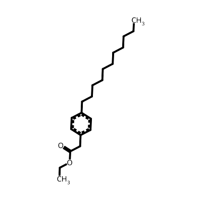 CCCCCCCCCCCc1ccc(CC(=O)OCC)cc1